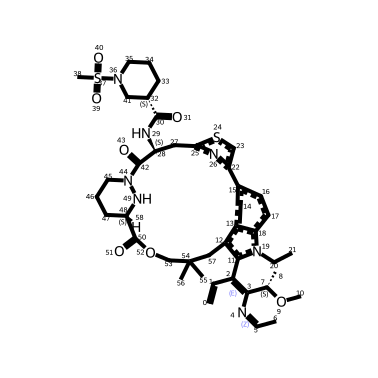 C=C/C(=C(\N=C/C)[C@H](C)OC)c1c2c3cc(ccc3n1CC)-c1csc(n1)C[C@H](NC(=O)[C@H]1CCCN(S(C)(=O)=O)C1)C(=O)N1CCC[C@H](N1)C(=O)OCC(C)(C)C2